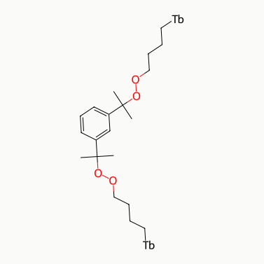 CC(C)(OOCCC[CH2][Tb])c1cccc(C(C)(C)OOCCC[CH2][Tb])c1